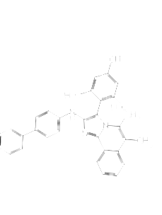 Cc1cc(C)c(-c2c(Nc3ccc(-c4ccccc4)cc3)nc3c4ccccc4c(C)c(C)n23)c(C)c1